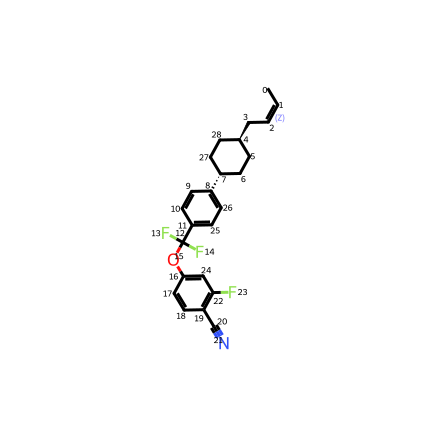 C/C=C\C[C@H]1CC[C@H](c2ccc(C(F)(F)Oc3ccc(C#N)c(F)c3)cc2)CC1